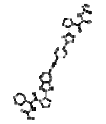 COC(=O)N[C@H](C(=O)N1CCC[C@H]1c1ncc(-c2ccc(C#Cc3ccc4nc([C@@H]5CCCN5C(=O)[C@@H](NC(=O)OC)C5CCCOC5)[nH]c4c3)cc2)[nH]1)C(C)C